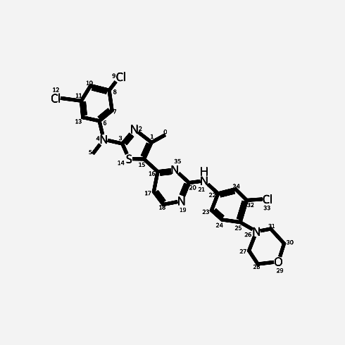 Cc1nc(N(C)c2cc(Cl)cc(Cl)c2)sc1-c1ccnc(Nc2ccc(N3CCOCC3)c(Cl)c2)n1